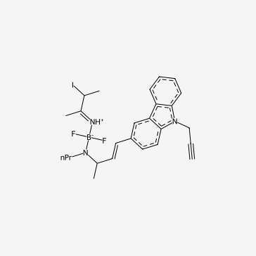 C#CCn1c2ccccc2c2cc(/C=C/C(C)N(CCC)[B-](F)(F)/[NH+]=C(\C)C(C)I)ccc21